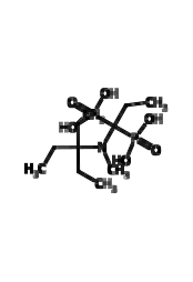 CCC(CC)(CC)N(C)C(CC)(P(=O)(O)O)P(=O)(O)O